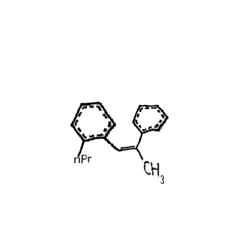 CCCc1ccccc1C=C(C)c1ccccc1